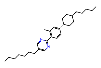 CCCCCCCc1cnc(-c2ccc([C@H]3CC[C@H](CCCCC)CC3)cc2C)nc1